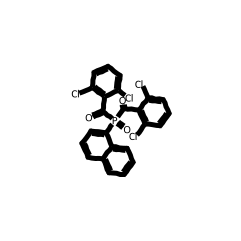 O=C(c1c(Cl)cccc1Cl)P(=O)(C(=O)c1c(Cl)cccc1Cl)c1cccc2ccccc12